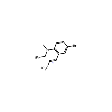 CC(C)CN(C)c1ccc(Br)cc1/C=C/C(=O)O